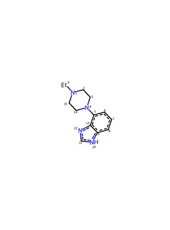 CCN1CCN(c2cccc3[nH]cnc23)CC1